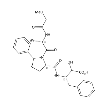 COCC(=O)N[C@H](C(=O)N1C(c2ccccc2)SC[C@H]1C(=O)N[C@@H](Cc1ccccc1)C(O)C(=O)O)C(C)C